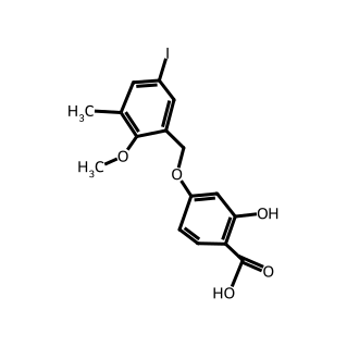 COc1c(C)cc(I)cc1COc1ccc(C(=O)O)c(O)c1